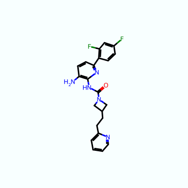 Nc1ccc(-c2ccc(F)cc2F)nc1NC(=O)N1CC(CCc2ccccn2)C1